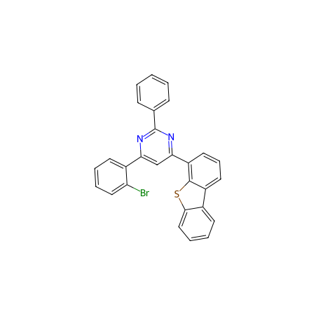 Brc1ccccc1-c1cc(-c2cccc3c2sc2ccccc23)nc(-c2ccccc2)n1